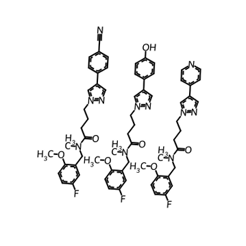 COc1ccc(F)cc1CN(C)C(=O)CCCn1cc(-c2ccc(C#N)cc2)cn1.COc1ccc(F)cc1CN(C)C(=O)CCCn1cc(-c2ccc(O)cc2)cn1.COc1ccc(F)cc1CN(C)C(=O)CCCn1cc(-c2ccncc2)cn1